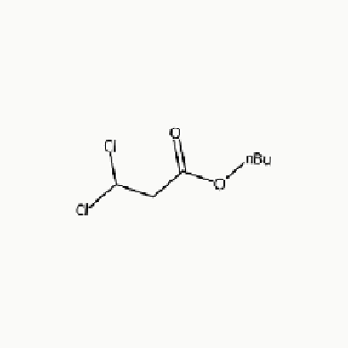 CCCCOC(=O)CC(Cl)Cl